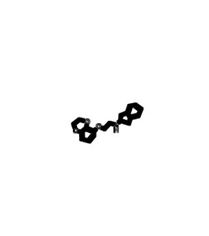 c1ccc2c(c1)CC(NCCOc1cccc3c1OCCO3)C2